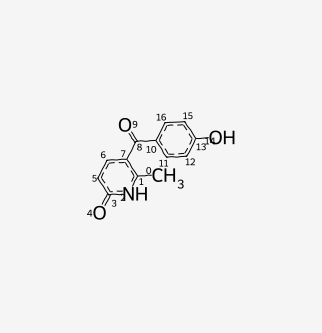 Cc1[nH]c(=O)ccc1C(=O)c1ccc(O)cc1